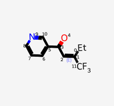 CC/C(=C\C(=O)c1cccnc1)C(F)(F)F